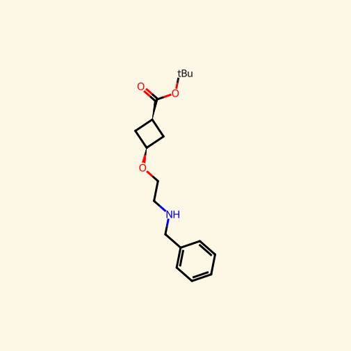 CC(C)(C)OC(=O)[C@H]1C[C@@H](OCCNCc2ccccc2)C1